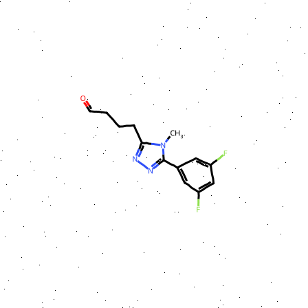 Cn1c(CCCC=O)nnc1-c1cc(F)cc(F)c1